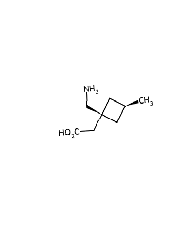 C[C@H]1C[C@](CN)(CC(=O)O)C1